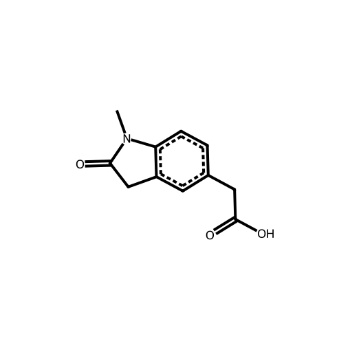 CN1C(=O)Cc2cc(CC(=O)O)ccc21